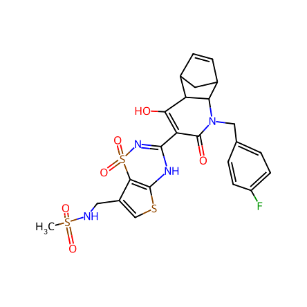 CS(=O)(=O)NCc1csc2c1S(=O)(=O)N=C(C1=C(O)C3C4C=CC(C4)C3N(Cc3ccc(F)cc3)C1=O)N2